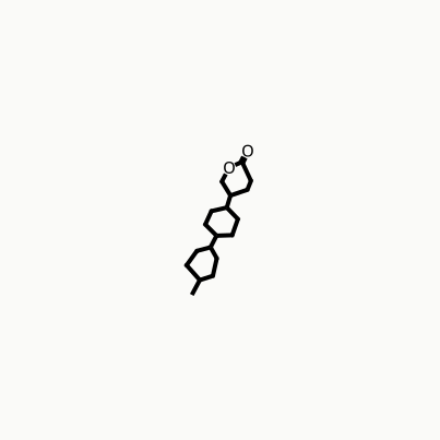 CC1CCC(C2CCC(C3CCC(=O)OC3)CC2)CC1